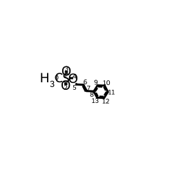 CS(=O)(=O)OC/C=C/c1ccccc1